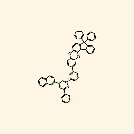 c1ccc(-c2nc(-c3cccc(-c4ccc5c(c4)Oc4c(ccc6c4-c4ccccc4C6(c4ccccc4)c4ccccc4)O5)c3)cc(-c3ccc4ccccc4c3)n2)cc1